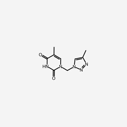 Cc1cn(Cn2cc(C)c(=O)[nH]c2=O)nn1